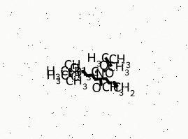 C=CCCC(CCCCB1OC(C)(C)C(C)(C)O1)(C(C)=O)N(C)C(=O)OC(C)(C)C